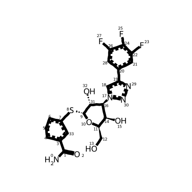 NC(=O)c1cccc(S[C@H]2O[C@H](CO)[C@H](O)[C@H](n3cc(-c4cc(F)c(F)c(F)c4)nn3)[C@H]2O)c1